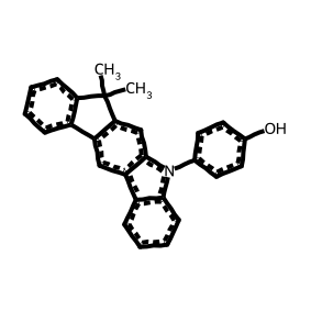 CC1(C)c2ccccc2-c2cc3c4ccccc4n(-c4ccc(O)cc4)c3cc21